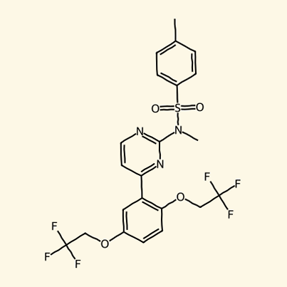 Cc1ccc(S(=O)(=O)N(C)c2nccc(-c3cc(OCC(F)(F)F)ccc3OCC(F)(F)F)n2)cc1